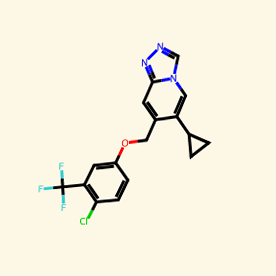 FC(F)(F)c1cc(OCc2cc3nncn3cc2C2CC2)ccc1Cl